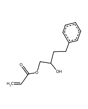 C=CC(=O)OCC(O)CCc1ccccc1